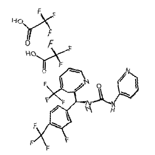 O=C(Nc1cccnc1)N[C@@H](c1ccc(C(F)(F)F)c(F)c1)c1ncccc1C(F)(F)F.O=C(O)C(F)(F)F.O=C(O)C(F)(F)F